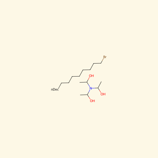 CC(O)N(C(C)O)C(C)O.CCCCCCCCCCCCCCCCCCBr